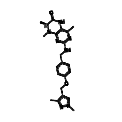 Cc1nn(C)cc1COc1ccc(CNc2nc(C)c3c(n2)N(C)[C@@H](C)C(=O)N3)cc1